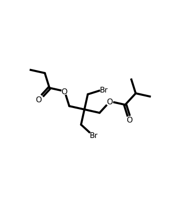 CCC(=O)OCC(CBr)(CBr)COC(=O)C(C)C